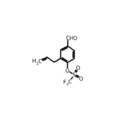 C=CCc1cc(C=O)ccc1OS(=O)(=O)C(F)(F)F